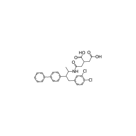 CC(NC(=O)CC(CC(=O)O)C(=O)O)C(Cc1ccc(Cl)c(Cl)c1)c1ccc(-c2ccccc2)cc1